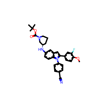 COc1ccc(-c2cc3cc(N[C@H]4CCCN(C(=O)OC(C)(C)C)C4)ccc3n2-c2ccc(C#N)cc2)cc1F